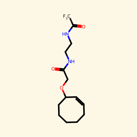 O=C(COC1/C=C\CCCCC1)NCCNC(=O)C(F)(F)F